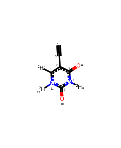 [2H]c1c(C#C)c(=O)n([2H])c(=O)n1[2H]